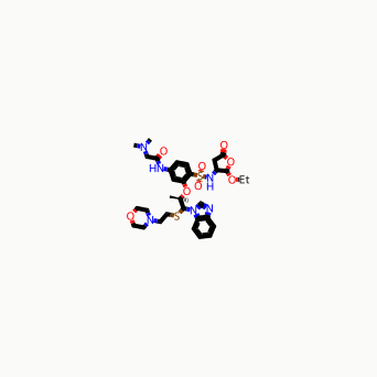 CCOC1OC(=O)CC1NS(=O)(=O)c1ccc(NC(=O)CN(C)C)cc1O[C@H](C)C(SCCN1CCOCC1)n1cnc2ccccc21